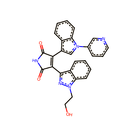 O=C1NC(=O)C(c2nn(CCO)c3ccccc23)=C1c1cn(-c2cccnc2)c2ccccc12